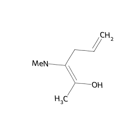 C=CC/C(NC)=C(/C)O